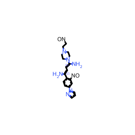 N/C(=C\C=C(/N)N1CCN(CCN=O)CC1)c1ccc(-n2cccn2)cc1N=O